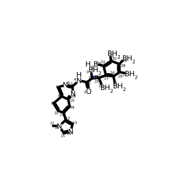 B/C(C(=O)Nc1ncc2ccc(-c3cncn3C)cc2n1)=C(/B)c1c(B)c(B)c(B)c(B)c1B